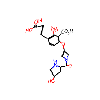 O=C(O)c1c(OC2CN(C(=O)C3CC(O)CN3)C2)ccc(CCB(O)O)c1O